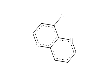 Sc1ccnc2cccnc12